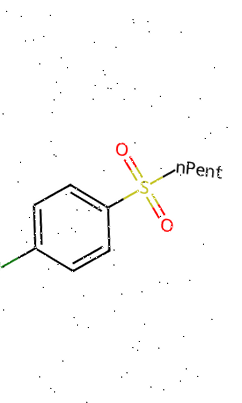 CCCCCS(=O)(=O)c1ccc(Cl)cc1